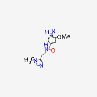 COc1cc(C(=O)NCCc2cncn2C)ccc1N